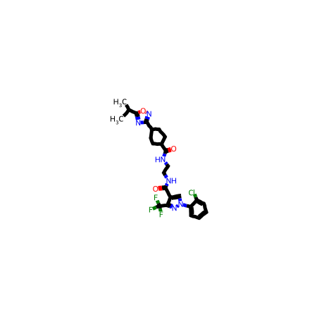 CC(C)c1nc(C2CCC(C(=O)NCCNC(=O)c3cn(-c4ccccc4Cl)nc3C(F)(F)F)CC2)no1